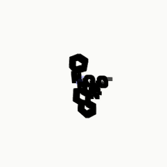 O=[N+]([O-])[N]c1c(/N=N/c2ccccc2)ccc2ccccc12